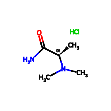 C[C@@H](C(N)=O)N(C)C.Cl